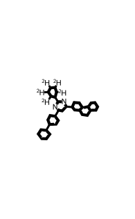 [2H]c1c([2H])c([2H])c(-c2nc(-c3ccc(-c4ccccc4)cc3)cc(-c3ccc4c(ccc5ccccc54)c3)n2)c([2H])c1[2H]